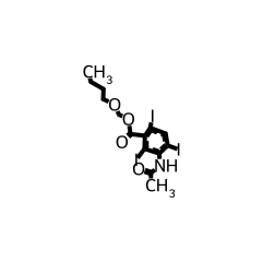 CCCCOCOC(=O)c1c(I)cc(I)c(NC(C)=O)c1I